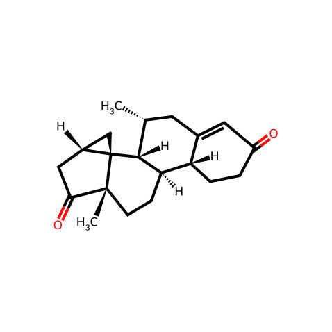 C[C@@H]1CC2=CC(=O)CC[C@@H]2[C@H]2CC[C@]3(C)C(=O)C[C@@H]4C[C@]43[C@@H]21